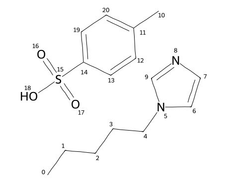 CCCCCn1ccnc1.Cc1ccc(S(=O)(=O)O)cc1